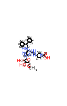 COC[C@H]1O[C@@H](n2cnc3c(NCC(c4ccccc4)c4ccccc4)nc(CNC4CCN(C(=O)O)CC4)nc32)[C@@H](O)[C@@H]1O